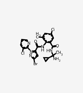 Cc1cc(Cl)cc(C(=O)NC(C)(N)C2CC2)c1NC(=O)c1cc(Br)nn1-c1ncccc1Cl